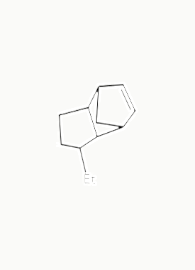 CCC1[CH]CC2C3C=CC(C3)C12